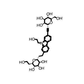 OCC[C@H]1O[C@H](CCc2ccc3c4ccc(C#C[C@H]5O[C@H](CO)[C@@H](O)[C@H](O)[C@@H]5O)cc4n(CCO)c3c2)[C@@H](O)[C@@H](O)[C@@H]1O